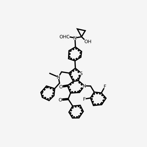 CN(Cc1ccccc1)Cc1c(-c2ccc(N(C=O)C3(O)CC3)cc2)sc2c1c(=O)c(C(=O)c1ccccc1)cn2Cc1c(F)cccc1F